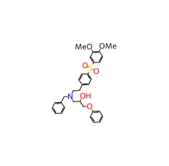 COc1ccc(S(=O)(=O)c2ccc(CCN(Cc3ccccc3)CC(O)COc3ccccc3)cc2)cc1OC